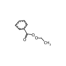 C[CH]OOC(=O)c1ccccc1